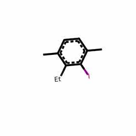 CCc1c(C)ccc(C)c1I